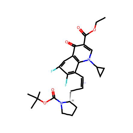 CCOC(=O)c1cn(C2CC2)c2c(/C=C\C[C@@H]3CCCN3C(=O)OC(C)(C)C)c(F)c(F)cc2c1=O